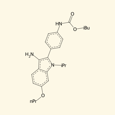 CCCOc1ccc2c(N)c(-c3ccc(NC(=O)OC(C)CC)cc3)n(C(C)C)c2c1